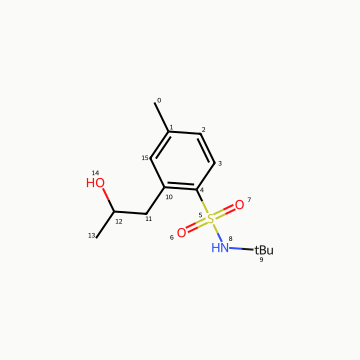 Cc1ccc(S(=O)(=O)NC(C)(C)C)c(CC(C)O)c1